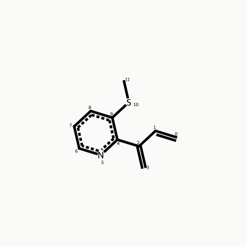 C=CC(=C)c1ncccc1SC